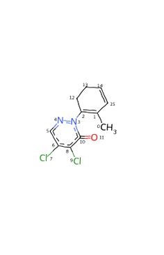 CC1=C(n2ncc(Cl)c(Cl)c2=O)CCC=C1